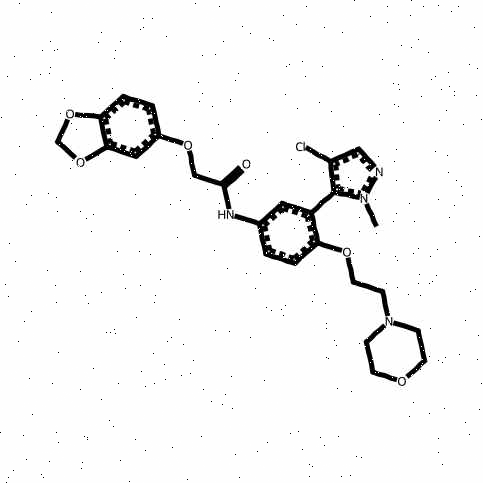 Cn1ncc(Cl)c1-c1cc(NC(=O)COc2ccc3c(c2)OCO3)ccc1OCCN1CCOCC1